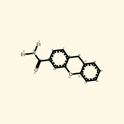 CCN(CC)C(=O)c1ccc2c(c1)Oc1ccccc1C2